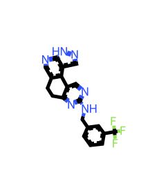 FC(F)(F)c1cccc(CNc2ncc3c(n2)CCc2cnc4[nH]ncc4c2-3)c1